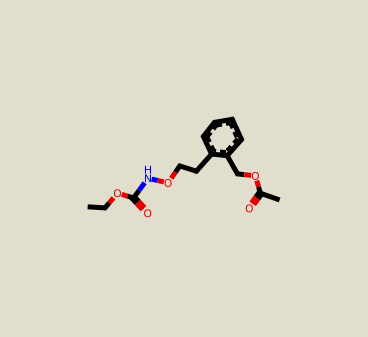 CCOC(=O)NOCCc1ccccc1COC(C)=O